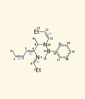 C\C=C/C=C(\N=C\CC)C(C)N(/C=C\CC)B(C)c1ccccc1